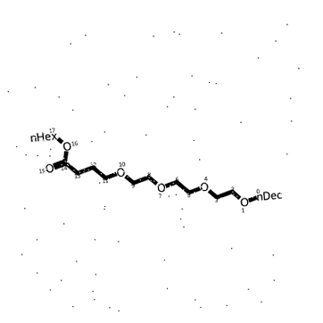 CCCCCCCCCCOCCOCCOCCOCCCC(=O)OCCCCCC